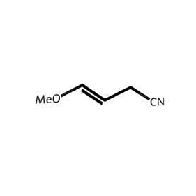 CO/C=C/CC#N